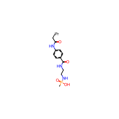 CC(C)CC(=O)Nc1ccc(C(=O)NCCNP(C)(=O)O)cc1